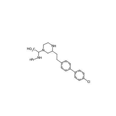 CCCNC(C(=O)O)N1CCNC(CCc2ccc(-c3ccc(Cl)cc3)cc2)C1